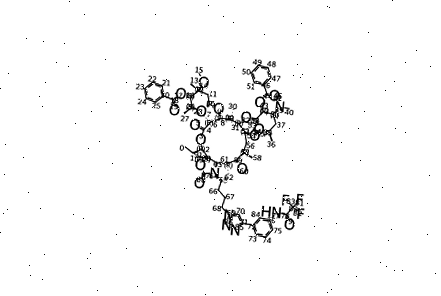 CC[C@H]1OC(=O)[C@H](C)[C@@H](O[C@H]2C[C@@](C)(OC)[C@@H](OC(=O)c3ccccc3)[C@H](C)O2)[C@H](C)[C@@H](O[C@@H]2O[C@H](C)C[C@H](N(C)C)[C@H]2OC(=O)c2ccccc2)[C@@](C)(OC)C[C@@H](C)C(=O)[C@H](C)C2N(CCCCn3cc(-c4cccc(NC(=O)C(F)(F)F)c4)nn3)C(=O)O[C@@]21C